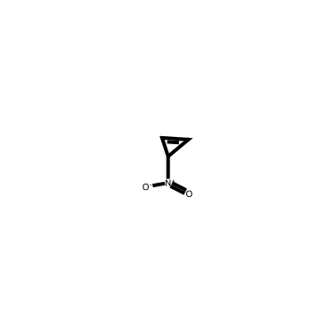 O=[N+]([O-])C1C=C1